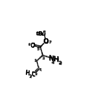 C=CCC(N)C(=O)OC(C)(C)C